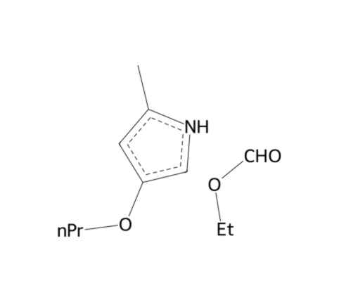 CCCOc1c[nH]c(C)c1.CCOC=O